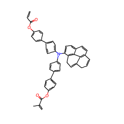 C=CC(=O)Oc1ccc(-c2ccc(N(c3ccc(-c4ccc(OC(=O)C(=C)C)cc4)cc3)c3ccc4ccc5c6c4c3CC=C6CC=C5)cc2)cc1